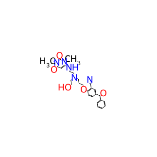 Cn1c(NCCN(CCO)CCCOc2ccc(C(=O)c3ccccc3)cc2C#N)cc(=O)n(C)c1=O